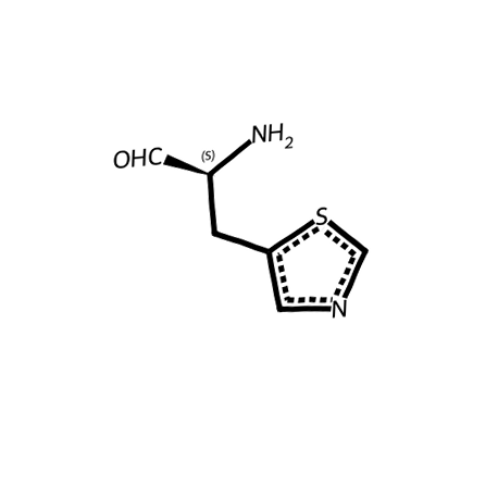 N[C@H](C=O)Cc1cncs1